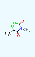 CC(Cl)C(=O)N(C)C(=O)Cl